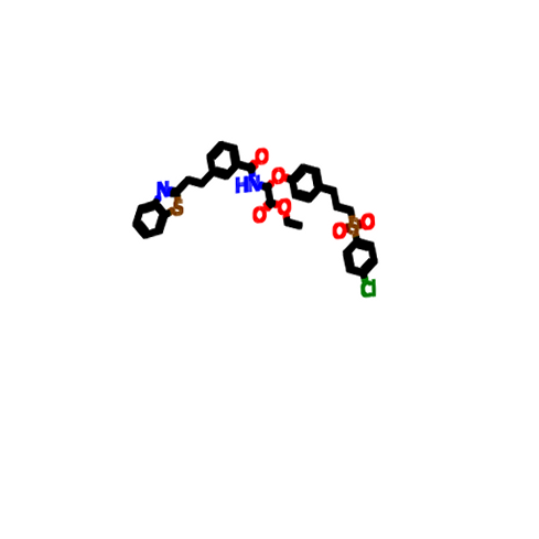 CCOC(=O)C(NC(=O)c1cccc(CCc2nc3ccccc3s2)c1)Oc1ccc(CCCS(=O)(=O)c2ccc(Cl)cc2)cc1